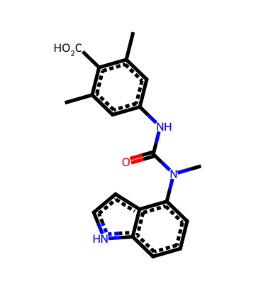 Cc1cc(NC(=O)N(C)c2cccc3[nH]ccc23)cc(C)c1C(=O)O